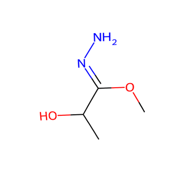 CO/C(=N\N)C(C)O